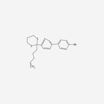 C=CCCCC1(c2ccc(-c3ccc(Br)cc3)cc2)SCCCS1